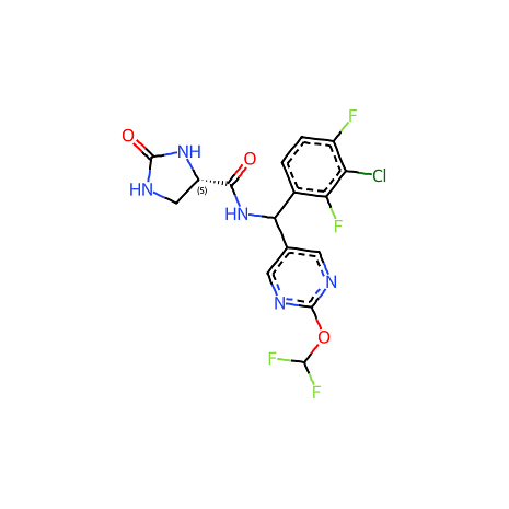 O=C1NC[C@@H](C(=O)NC(c2cnc(OC(F)F)nc2)c2ccc(F)c(Cl)c2F)N1